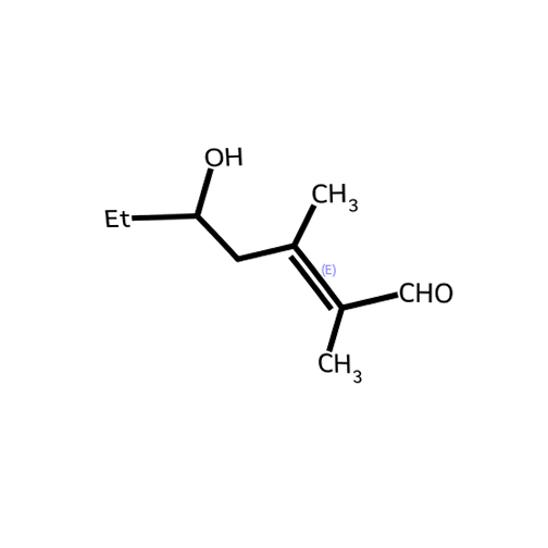 CCC(O)C/C(C)=C(\C)C=O